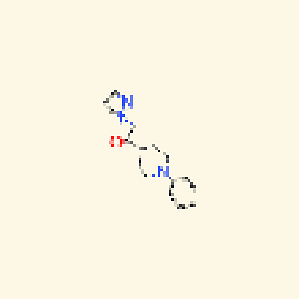 O=C(Cn1cccn1)C1CCN(c2ccccc2)CC1